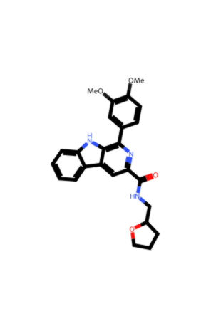 COc1ccc(-c2nc(C(=O)NCC3CCCO3)cc3c2[nH]c2ccccc23)cc1OC